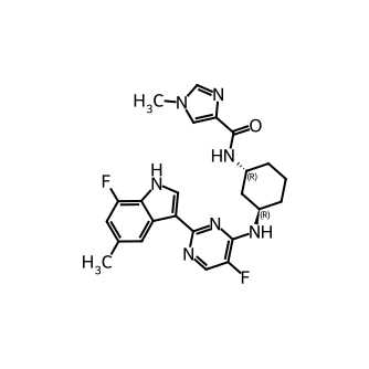 Cc1cc(F)c2[nH]cc(-c3ncc(F)c(N[C@@H]4CCC[C@@H](NC(=O)c5cn(C)cn5)C4)n3)c2c1